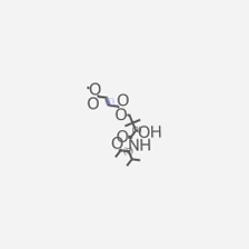 COC(=O)/C=C/C(=O)OCC(C)(C)[C@@H](O)C(=O)N[C@H](C(C)=O)C(C)C